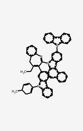 CCC1=C(c2ccc3c4ccccc4n(C4=CCC(C)C=C4)c3c2)C(n2c3cc(-n4c5ccccc5c5ccccc54)ccc3c3c4ccccc4ccc32)=Nc2ccccc2C1